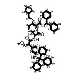 CO/N=C(\C(=O)NC1C(=O)N2C(C(=O)OC(c3ccccc3)c3ccccc3)=C(SCC3CCOC3)CS[C@H]12)c1csc(NC(c2ccccc2)(c2ccccc2)c2ccccc2)n1